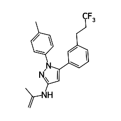 C=C(C)Nc1cc(-c2cccc(CCC(F)(F)F)c2)n(-c2ccc(C)cc2)n1